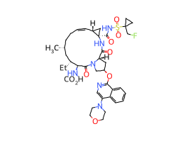 CC[C@@H]1C[C@H](C)CCC=C[C@@H]2C[C@@]2(C(=O)NS(=O)(=O)C2(CF)CC2)NC(=O)[C@@H]2C[C@@H](Oc3ncc(N4CCOCC4)c4ccccc34)CN2C(=O)[C@H]1NC(=O)O